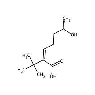 C[C@@H](O)CCC=C(C(=O)O)C(C)(C)C